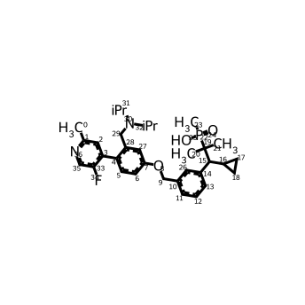 Cc1cc(-c2ccc(OCc3cccc(C(C4CC4)C(C)(C)P(C)(=O)O)c3)cc2CN(C(C)C)C(C)C)c(F)cn1